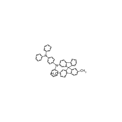 Cc1ccc2c(c1)C1(c3ccccc3-c3ccc(N(c4ccccc4)c4ccc(N(c5ccccc5)c5ccccc5)cc4)cc31)c1cc(C)ccc1-2